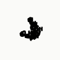 Fc1cc2ncnc(NNc3ccc4c(cnn4Cc4ccccc4)c3)c2cc1-c1ccc(C2OCCO2)o1